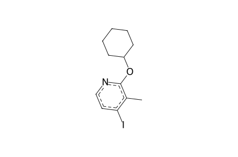 Cc1c(I)ccnc1OC1CCCCC1